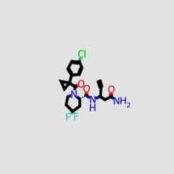 C#CC(CC(N)=O)NC(=O)[C@@H]1CC(F)(F)CCN1C(=O)C1(c2ccc(Cl)cc2)CC1